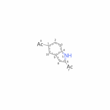 CC(=O)c1ccc2[nH]c(C(C)=O)cc2c1